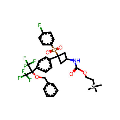 C[Si](C)(C)CCOC(=O)NC1CC(c2ccc(C(OCc3ccccc3)(C(F)(F)F)C(F)(F)F)cc2)(S(=O)(=O)c2ccc(F)cc2)C1